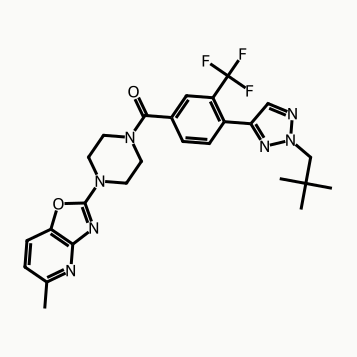 Cc1ccc2oc(N3CCN(C(=O)c4ccc(-c5cnn(CC(C)(C)C)n5)c(C(F)(F)F)c4)CC3)nc2n1